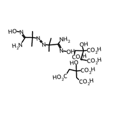 CC(C)(N=NC(C)(C)C(N)=NO)C(N)=NO.O=C(O)CC(O)(CC(=O)O)C(=O)O.O=C(O)CC(O)(CC(=O)O)C(=O)O